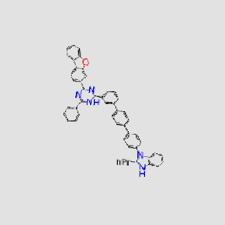 CCCC1Nc2ccccc2N1c1ccc(-c2ccc(-c3cccc(C4N=C(c5ccc6c(c5)oc5ccccc56)N=C(c5ccccc5)N4)c3)cc2)cc1